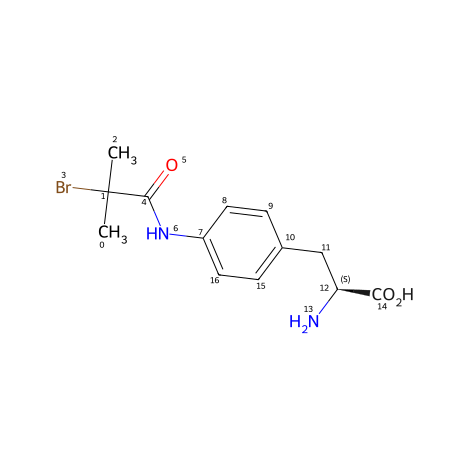 CC(C)(Br)C(=O)Nc1ccc(C[C@H](N)C(=O)O)cc1